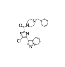 O=C(c1nc(-c2cnn3ccccc23)c(Cl)s1)N1CCN(Cc2ccccc2)CC1